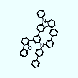 c1ccc(-c2ccc(N(c3cccc(-c4ccccc4)c3)c3cc(-c4ccc5c(c4)c4ccccc4n5-c4ccccc4)cc(-c4cccc5c4oc4ccccc45)c3)cc2)cc1